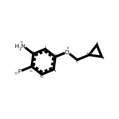 Nc1cc(OCC2CC2)ccc1F